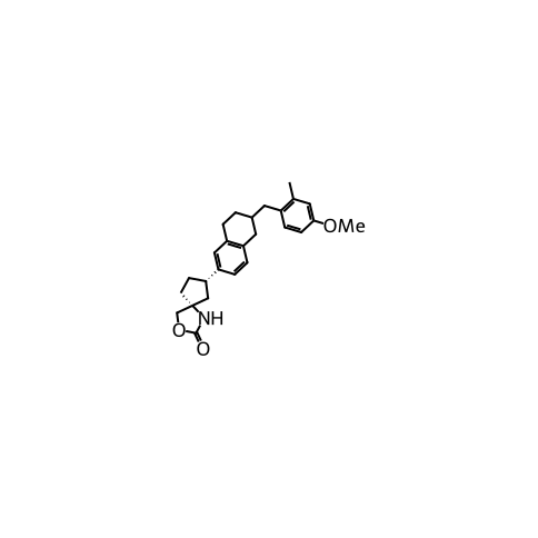 COc1ccc(CC2CCc3cc([C@H]4CC[C@]5(COC(=O)N5)C4)ccc3C2)c(C)c1